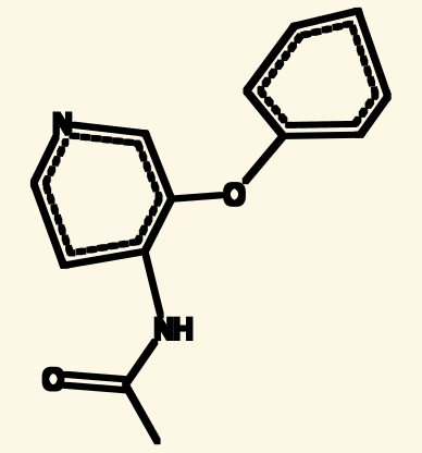 CC(=O)Nc1ccncc1Oc1ccccc1